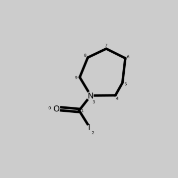 O=C(I)N1CCCCCC1